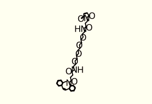 O=C(CCC(=O)N1Cc2ccccc2C#Cc2ccccc21)NCCOCCOCCOCCOCCNC(=O)CCN1C(=O)C=CC1=O